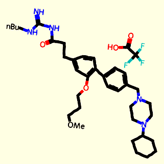 CCCCNC(=N)NC(=O)CCc1ccc(-c2ccc(CN3CCN(C4CCCCC4)CC3)cc2)c(OCCCOC)c1.O=C(O)C(F)(F)F